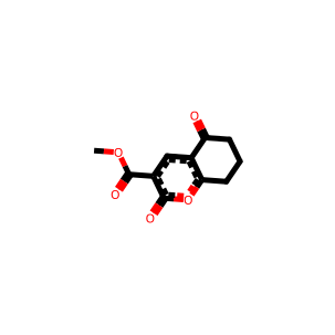 COC(=O)c1cc2c(oc1=O)CCCC2=O